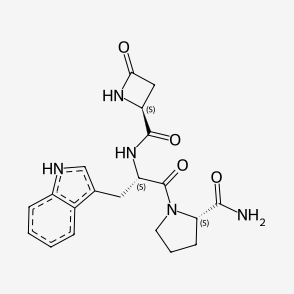 NC(=O)[C@@H]1CCCN1C(=O)[C@H](Cc1c[nH]c2ccccc12)NC(=O)[C@@H]1CC(=O)N1